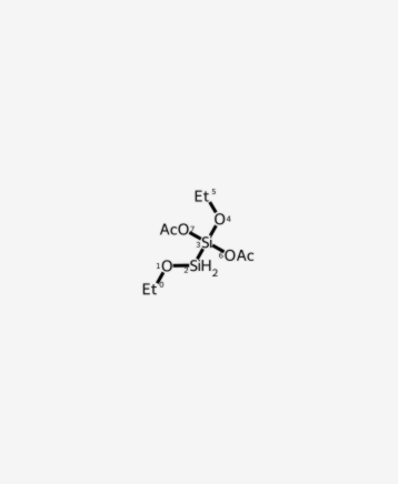 CCO[SiH2][Si](OCC)(OC(C)=O)OC(C)=O